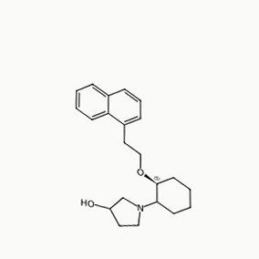 OC1CCN(C2CCCC[C@@H]2OCCc2cccc3ccccc23)C1